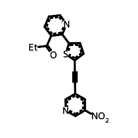 CCC(=O)c1cccnc1-c1ccc(C#Cc2cncc([N+](=O)[O-])c2)s1